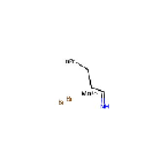 CCCCCC=N.[Br-].[Br-].[Mn+2]